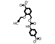 C#CCOc1cc([N+](=O)[O-])ccc1COC(=O)Nc1ccc([N+](=O)[O-])cc1